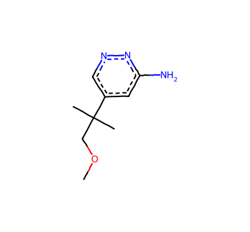 COCC(C)(C)c1cnnc(N)c1